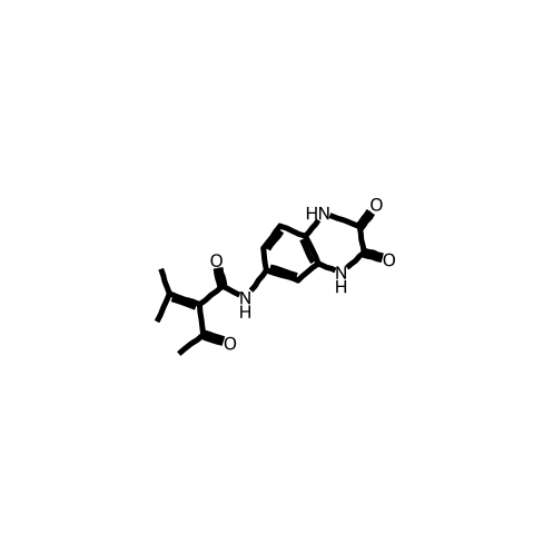 CC(=O)C(C(=O)Nc1ccc2[nH]c(=O)c(=O)[nH]c2c1)=C(C)C